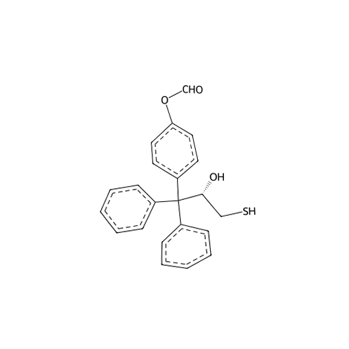 O=COc1ccc(C(c2ccccc2)(c2ccccc2)[C@H](O)CS)cc1